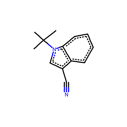 CC(C)(C)n1cc(C#N)c2ccccc21